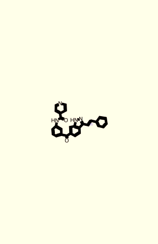 O=C(Nc1cccc(C(=O)c2ccc3c(/C=C/c4ccccc4)n[nH]c3c2)c1)c1ccncc1